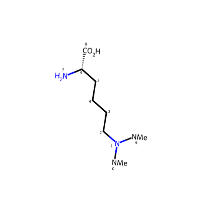 CNN(CCCC[C@H](N)C(=O)O)NC